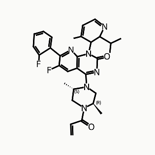 C=CC(=O)N1C[C@H](C)N(c2nc(=O)n(C3C(C)=CC=NC3C(C)C)c3nc(-c4ccccc4F)c(F)cc23)C[C@H]1C